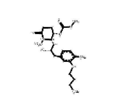 COCCCOc1cc(C[C@@H](C[C@H]2[C@@H](OC(=O)OC(C)(C)C)CCC(=O)N2C(=O)O)C(C)C)ccc1OC